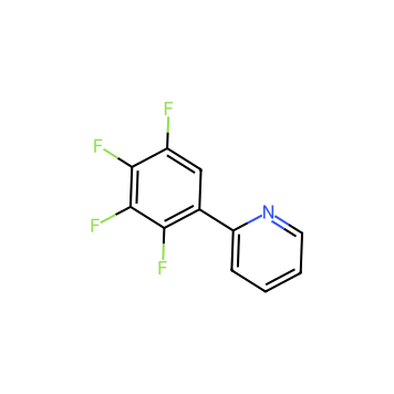 Fc1cc(-c2ccccn2)c(F)c(F)c1F